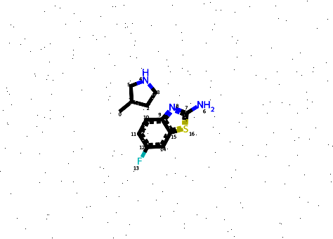 CC1CCNC1.Nc1nc2ccc(F)cc2s1